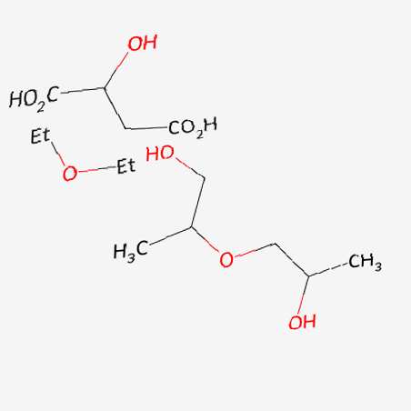 CC(O)COC(C)CO.CCOCC.O=C(O)CC(O)C(=O)O